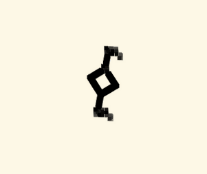 NC1CN(N)C1